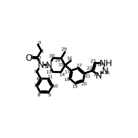 CCC(=O)N(Cc1ccccc1)N1CCC(C)(c2cccc(-c3c[nH]nn3)c2)C(C)C1